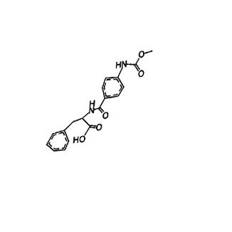 COC(=O)Nc1ccc(C(=O)NC(Cc2ccccc2)C(=O)O)cc1